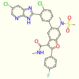 CNC(=O)c1c(-c2ccc(F)cc2)oc2cc(N(C)S(C)(=O)=O)c(-c3ccc(Cl)c(-c4nc5cc(Cl)cnc5[nH]4)c3)cc12